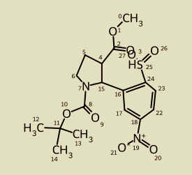 COC(=O)C1CCN(C(=O)OC(C)(C)C)C1c1cc([N+](=O)[O-])ccc1[SH](=O)=O